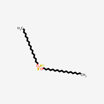 CCCCCCCCCCCCCCCCCCOP(=S)(S)OCCCCCCCCCCCCCCCCCC